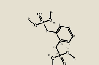 COP(=O)(Cc1ccccc1CP(=O)(OC)OC)OC